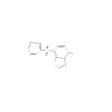 O=S(=O)(c1ccccc1)c1ccc(C(F)(F)F)c2cc[nH]c12